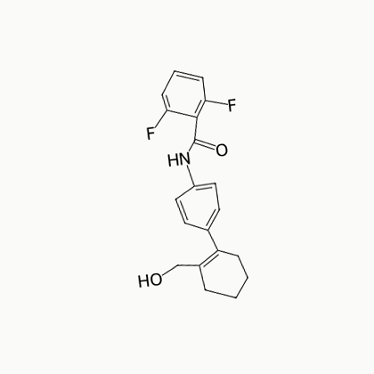 O=C(Nc1ccc(C2=C(CO)CCCC2)cc1)c1c(F)cccc1F